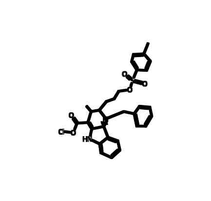 Cc1ccc(S(=O)(=O)OCCCC2C(C)C(C(=O)OCl)=C3Nc4ccccc4C34CCN(Cc3ccccc3)C24)cc1